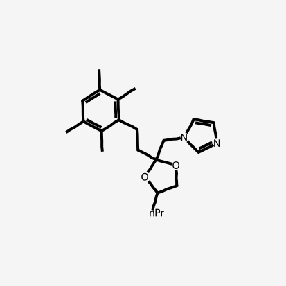 CCCC1COC(CCc2c(C)c(C)cc(C)c2C)(Cn2ccnc2)O1